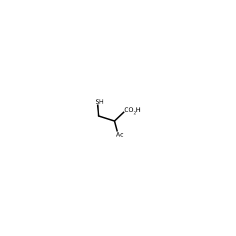 CC(=O)C(CS)C(=O)O